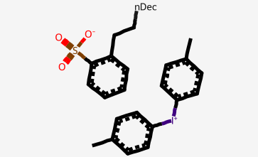 CCCCCCCCCCCCc1ccccc1S(=O)(=O)[O-].Cc1ccc([I+]c2ccc(C)cc2)cc1